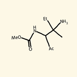 CCC(C)(N)C(NC(=O)OC)C(C)=O